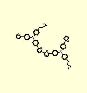 COCCc1ccc(N(c2ccc(-c3cccs3)cc2)c2ccc(-c3ccc(-c4ccc(-c5ccc(N(c6ccc(CCOC)cc6)c6ccc(-c7cccs7)cc6)cc5)s4)s3)cc2)cc1